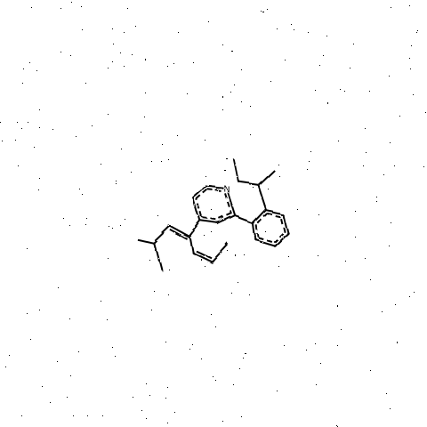 C/C=C\C(=C/C(C)C)c1ccnc(-c2ccccc2C(C)CC)c1